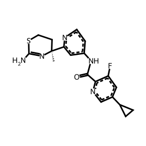 C[C@@]1(c2cc(NC(=O)c3ncc(C4CC4)cc3F)ccn2)CCSC(N)=N1